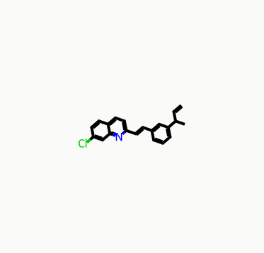 C=CC(C)c1cccc(/C=C/c2ccc3ccc(Cl)cc3n2)c1